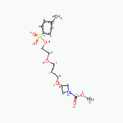 Cc1ccc(S(=O)(=O)OCCOCCCOC2CN(C(=O)OC(C)(C)C)C2)cc1